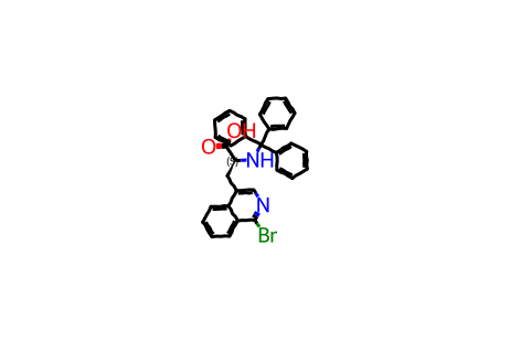 O=C(O)[C@H](Cc1cnc(Br)c2ccccc12)NC(c1ccccc1)(c1ccccc1)c1ccccc1